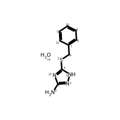 Nc1n[nH]c(SCc2ccccc2)n1.O